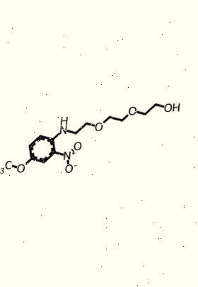 COc1ccc(NCCOCCOCCO)c([N+](=O)[O-])c1